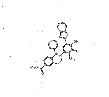 COC(=O)c1ccc2c(c1)CCN(c1nc(-c3nc4ccccc4o3)c(O)c(=O)n1C)[C@@H]2c1ccccc1